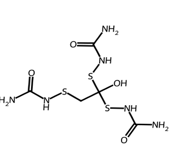 NC(=O)NSCC(O)(SNC(N)=O)SNC(N)=O